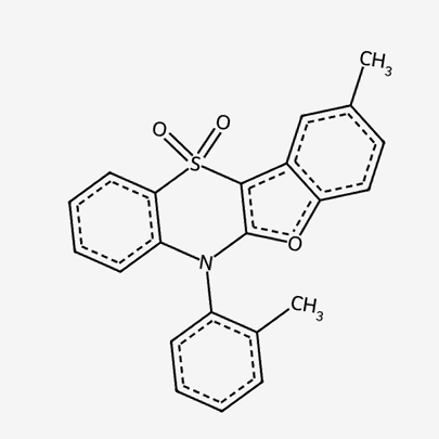 Cc1ccc2oc3c(c2c1)S(=O)(=O)c1ccccc1N3c1ccccc1C